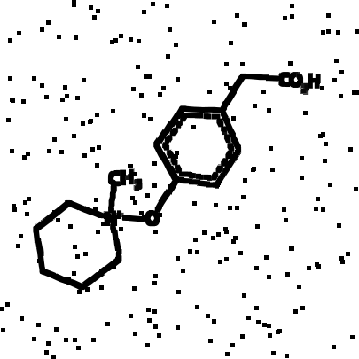 C[N+]1(Oc2ccc(CC(=O)O)cc2)CCCCC1